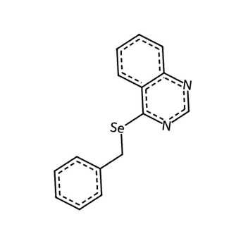 c1ccc(C[Se]c2ncnc3ccccc23)cc1